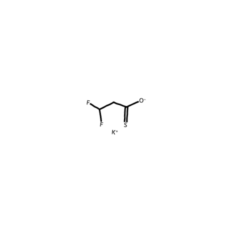 [K+].[O-]C(=S)CC(F)F